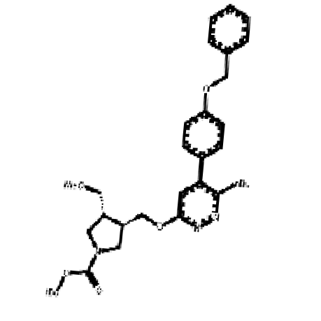 CCCCc1nnc(OC[C@H]2CN(C(=O)OC(C)(C)C)C[C@@H]2COC)cc1-c1ccc(OCc2ccccc2)cc1